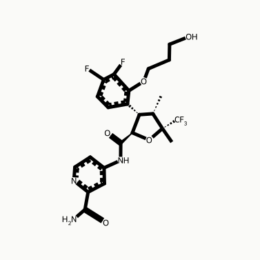 C[C@H]1[C@@H](c2ccc(F)c(F)c2OCCCO)[C@H](C(=O)Nc2ccnc(C(N)=O)c2)O[C@@]1(C)C(F)(F)F